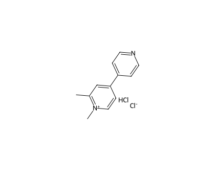 Cc1cc(-c2ccncc2)cc[n+]1C.Cl.[Cl-]